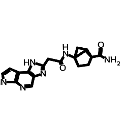 NC(=O)C12CCC(NC(=O)Cc3nc4cnc5[nH]ccc5c4[nH]3)(CC1)C2